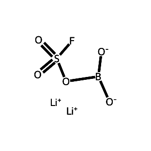 O=S(=O)(F)OB([O-])[O-].[Li+].[Li+]